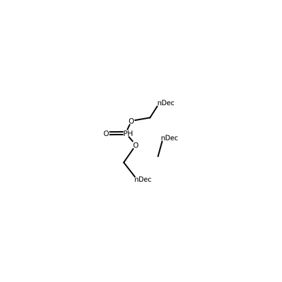 CCCCCCCCCCC.CCCCCCCCCCCO[PH](=O)OCCCCCCCCCCC